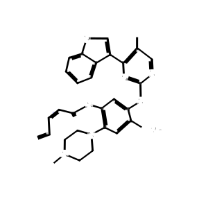 C=C/C=C\C(=O)Nc1cc(Nc2ncc(C)c(-c3c[nH]c4ccccc34)n2)c(OC)cc1N1CCN(C)CC1